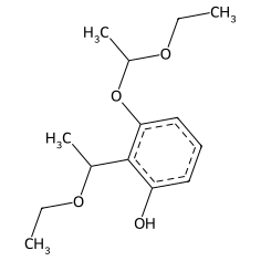 CCOC(C)Oc1cccc(O)c1C(C)OCC